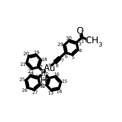 CC(=O)c1ccc(C#[C][Au][PH](c2ccccc2)(c2ccccc2)c2ccccc2)cc1